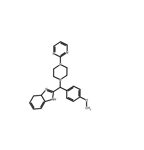 COc1ccc(C(C2=NC3CC=CC=C3N2)N2CCN(c3ncccn3)CC2)cc1